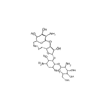 NCC1OC(OC2C(CF)OC(OC3C(O)C(N)CC(N)C3OC3OC(CO)C(O)C(O)C3N)C2O)C(N)C(O)C1O